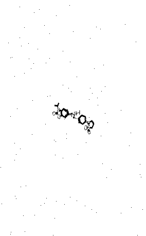 CC(C)n1c(=O)oc2cc(NC[C@H]3CC[C@H](N4CCCS4(=O)=O)CC3)ccc21